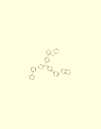 CC1(C)c2ccccc2-c2cccc(-c3ccc(N(c4ccc(-c5cccc(-c6ccccc6)c5)cc4)c4ccc(-c5cccc(-c6ccc7ccccc7c6)c5)cc4)cc3)c21